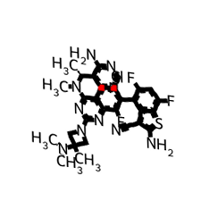 C[C@H](c1cncnc1N)N(C)c1nc(N2CC(C)(N(C)C)C2)nc2c(F)c(-c3c(F)cc(F)c4sc(N)c(C#N)c34)c(Cl)cc12